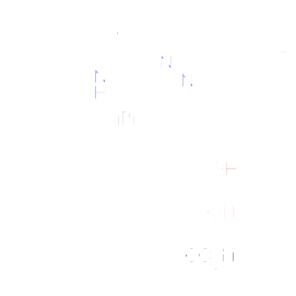 Cc1cccc(CNC(=O)c2nn(-c3ccc(F)cc3)c(CCC(O)CC(O)CC(=O)O)c2C(C)C)c1